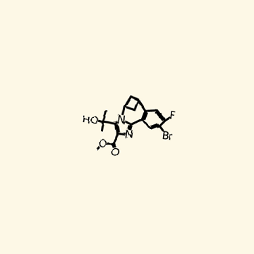 COC(=O)c1nc2n(c1C(C)(C)O)C1CC(C1)c1cc(F)c(Br)cc1-2